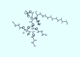 CCCCCCCCCCCCCC[C@H]1OC(C)(C)O[C@H]1[C@H](CO[C@@H](OC(CF)[C@H](C)OCCCC)[C@@H](COCCCC)OCCCC)N=[N+]=[N-]